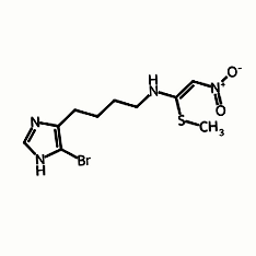 CSC(=C[N+](=O)[O-])NCCCCc1nc[nH]c1Br